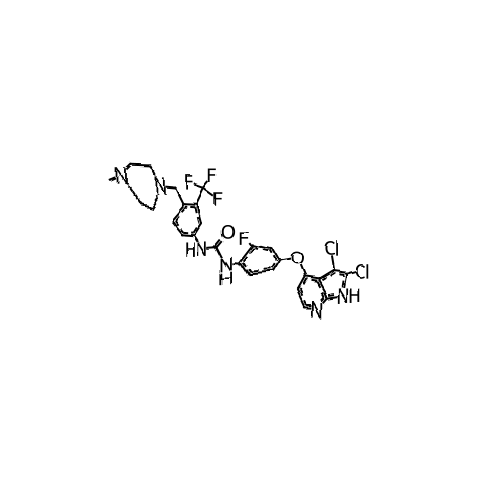 CN1CCN(Cc2ccc(NC(=O)Nc3ccc(Oc4ccnc5[nH]c(Cl)c(Cl)c45)cc3F)cc2C(F)(F)F)CC1